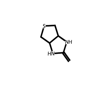 C=C1NC2CSCC2N1